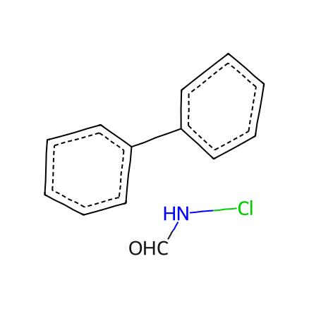 O=CNCl.c1ccc(-c2ccccc2)cc1